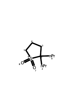 CCCC1(CCC)CCCS1(=O)=O